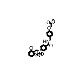 COC(=O)COc1ccc(CNC(=O)c2ccc(N(Cc3ccccc3Cl)S(C)(=O)=O)cc2)cc1